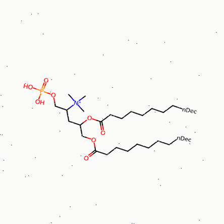 CCCCCCCCCCCCCCCCCC(=O)OCC(CC(COP(=O)(O)O)[N+](C)(C)C)OC(=O)CCCCCCCCCCCCCCCCC